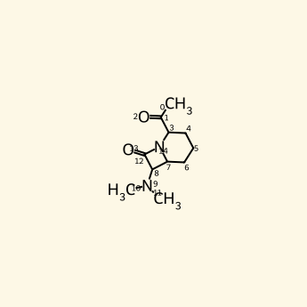 CC(=O)C1CCCC2C(N(C)C)C(=O)N12